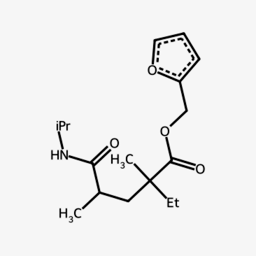 CCC(C)(CC(C)C(=O)NC(C)C)C(=O)OCc1ccco1